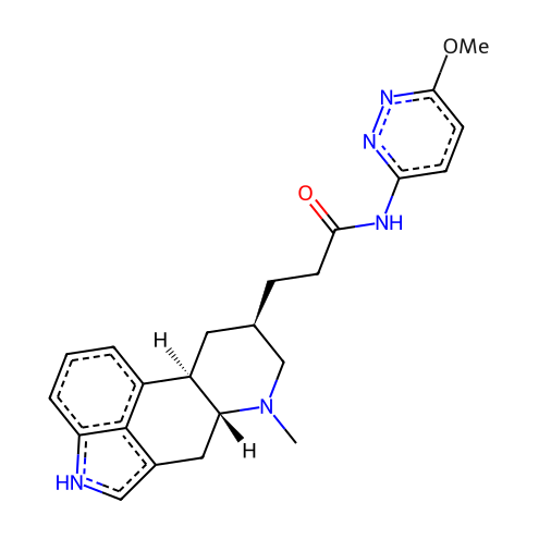 COc1ccc(NC(=O)CC[C@@H]2C[C@@H]3c4cccc5[nH]cc(c45)C[C@H]3N(C)C2)nn1